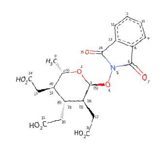 C[C@@H]1O[C@@H](ON2C(=O)c3ccccc3C2=O)[C@@H](CC(=O)O)[C@H](CC(=O)O)[C@H]1CC(=O)O